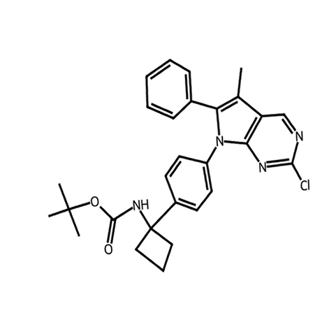 Cc1c(-c2ccccc2)n(-c2ccc(C3(NC(=O)OC(C)(C)C)CCC3)cc2)c2nc(Cl)ncc12